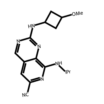 COC1CC(Nc2ncc3cc(C#N)nc(NC(C)C)c3n2)C1